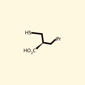 CC(C)C[C@H](CS)C(=O)O